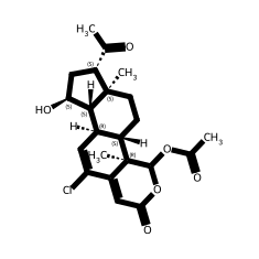 CC(=O)OC1OC(=O)C=C2C(Cl)=C[C@H]3[C@@H]4[C@@H](O)C[C@H](C(C)=O)[C@@]4(C)CC[C@@H]3[C@]21C